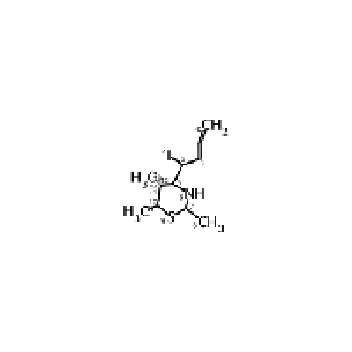 C=C=CC(I)C1NC(C)SC(C)[C@@H]1C